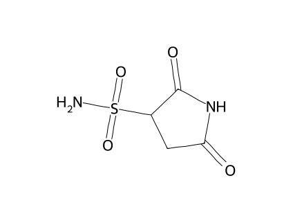 NS(=O)(=O)C1CC(=O)NC1=O